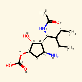 CCC(CC)[C@@H](NC(C)=O)[C@H]1[C@@H](O)[C@H](OC(=O)O)C[C@@H]1N